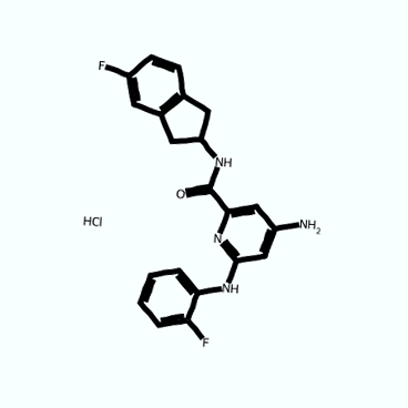 Cl.Nc1cc(Nc2ccccc2F)nc(C(=O)NC2Cc3ccc(F)cc3C2)c1